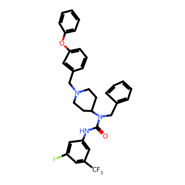 O=C(Nc1cc(F)cc(C(F)(F)F)c1)N(Cc1ccccc1)C1CCN(Cc2cccc(Oc3ccccc3)c2)CC1